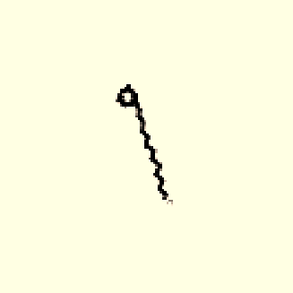 CC(C)CCCCCCCCCCCCCc1ccccc1